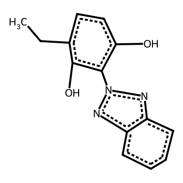 CCc1ccc(O)c(-n2nc3ccccc3n2)c1O